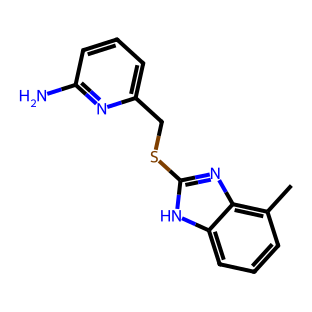 Cc1cccc2[nH]c(SCc3cccc(N)n3)nc12